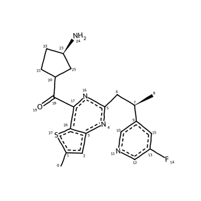 Cc1cc2nc(C[C@@H](C)c3cncc(F)c3)nc(C(=O)C3CC[C@@H](N)C3)c2s1